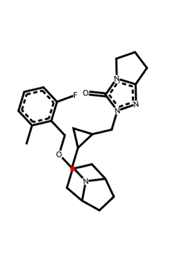 Cc1cccc(F)c1COC1CC2CCC(C1)N2CC1CC1Cn1nc2n(c1=O)CCC2